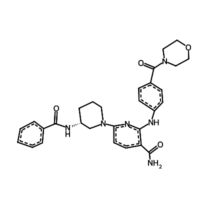 NC(=O)c1ccc(N2CCC[C@@H](NC(=O)c3ccccc3)C2)nc1Nc1ccc(C(=O)N2CCOCC2)cc1